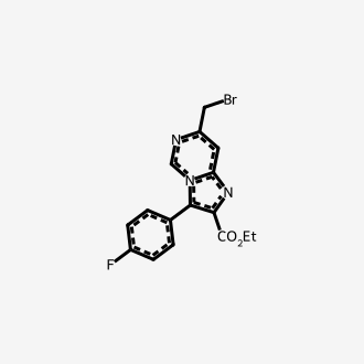 CCOC(=O)c1nc2cc(CBr)ncn2c1-c1ccc(F)cc1